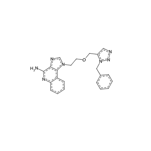 Nc1nc2ccccc2c2c1ncn2CCOCc1cnnn1Cc1ccccc1